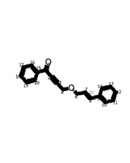 O=C(C#CCOC/C=C/c1ccccc1)c1ccccc1